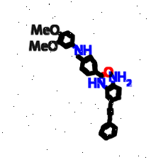 COc1ccc(NCc2ccc(C(=O)Nc3cc(C#Cc4ccccc4)ccc3N)cc2)cc1OC